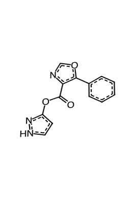 O=C(Oc1cc[nH]n1)c1ncoc1-c1ccccc1